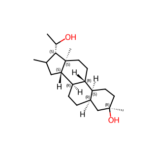 CC(O)[C@H]1C(C)C[C@H]2[C@@H]3CC[C@@H]4C[C@](C)(O)CC[C@@H]4[C@H]3CC[C@]12C